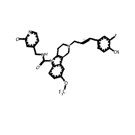 N#Cc1ccc(/C=C/CN2CCc3c(c4cc(OC(F)(F)F)ccc4n3C(=O)NCc3ccnc(Cl)c3)C2)cc1F